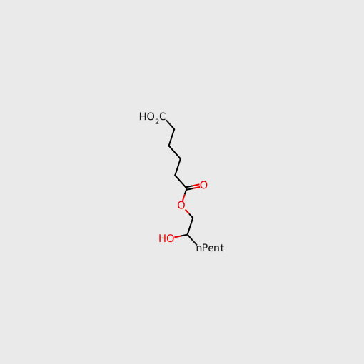 CCCCCC(O)COC(=O)CCCCC(=O)O